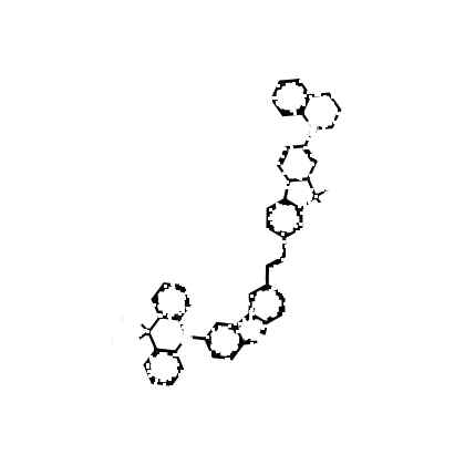 CC1(C)c2ccccc2N(c2ccc3sc4ccc(/C=C/c5ccc6c(c5)C(C)(C)C5C=C(N7CCCc8ccccc87)C=CC65)cc4c3c2)c2ccccc21